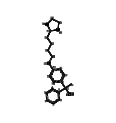 CC(O)(c1ccccc1)c1ccc(OCCCCC2OCCO2)cc1